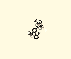 CC(OP(=O)(N1CC1)N1CC1)c1ccc([N+](=O)[O-])c(-c2ccccc2F)c1